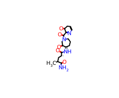 CC(C[CH]C(=O)N[C@H]1CCCN(C(=O)C2=NC=CCC2=O)CC1=O)C(N)=O